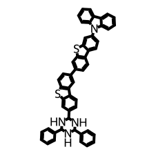 c1ccc(C2NC(c3ccccc3)NC(c3ccc4c(c3)sc3ccc(-c5ccc6c(c5)sc5cc(-n7c8ccccc8c8ccccc87)ccc56)cc34)N2)cc1